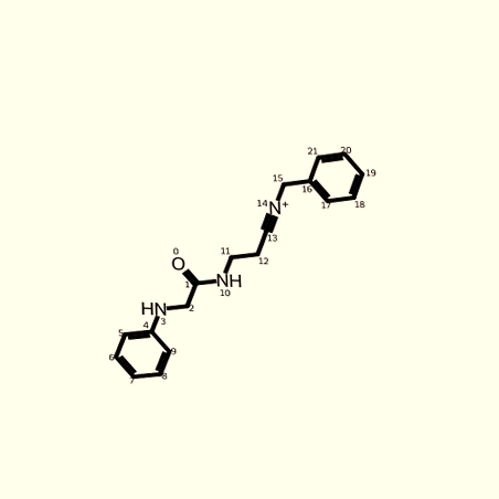 O=C(CNc1ccccc1)NCCC#[N+]Cc1ccccc1